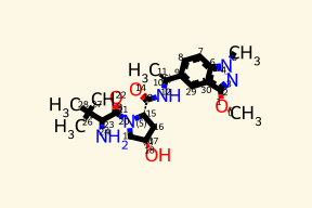 COc1nn(C)c2ccc([C@H](C)NC(=O)[C@@H]3C[C@@H](O)CN3C(=O)C(N)C(C)(C)C)cc12